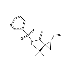 C=C[C@@H]1C[C@@]1(C(=O)NS(=O)(=O)c1cccnc1)C(C)(C)C